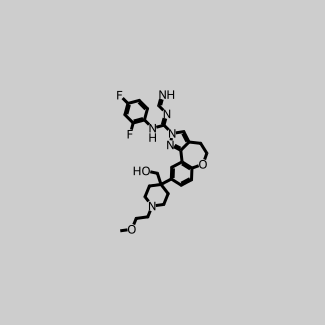 COCCN1CCC(CO)(c2ccc3c(c2)-c2nn(/C(=N/C=N)Nc4ccc(F)cc4F)cc2CCO3)CC1